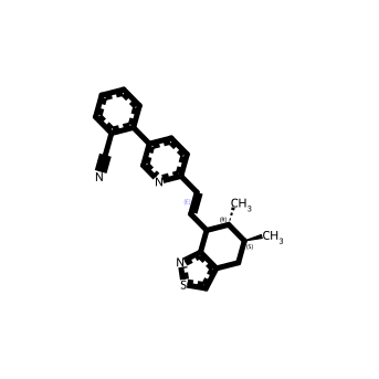 C[C@H]1Cc2csnc2C(/C=C/c2ccc(-c3ccccc3C#N)cn2)[C@@H]1C